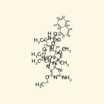 CCOc1nc(N)nc2c1ncn2[C@](C)(F)[C@H](O)C(F)(COP(=O)(NC(C)C(=O)OCC(C)(C)C)Oc1cccc2ccccc12)OC